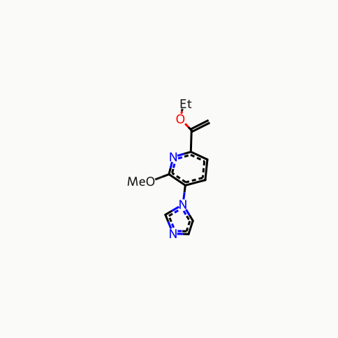 C=C(OCC)c1ccc(-n2ccnc2)c(OC)n1